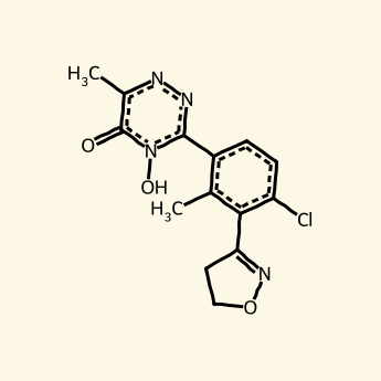 Cc1c(-c2nnc(C)c(=O)n2O)ccc(Cl)c1C1=NOCC1